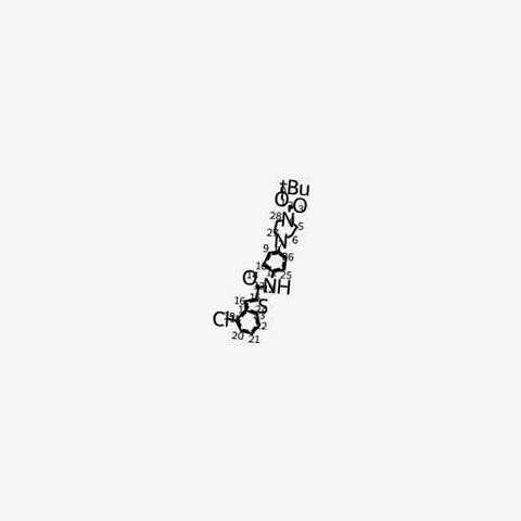 CC(C)(C)OC(=O)N1CCN(c2ccc(NC(=O)c3cc4c(Cl)cccc4s3)cc2)CC1